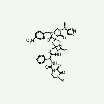 C=[N+](c1cnns1)N1CCN([C@]2(C(=O)OCc3ccc([N+](=O)[O-])cc3)CN3C(=O)[C@@H](NC(=O)C(NC(=O)N4CCN(CC)C(=O)C4=O)c4ccccc4)[C@H]3S2)C1=O